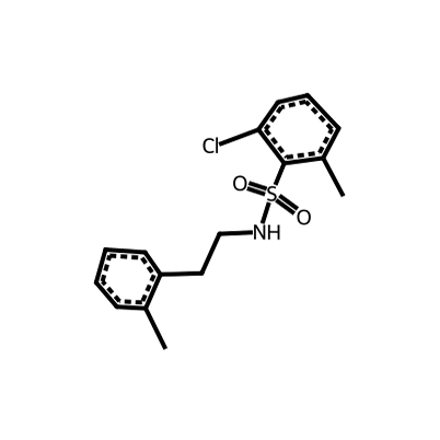 Cc1ccccc1CCNS(=O)(=O)c1c(C)cccc1Cl